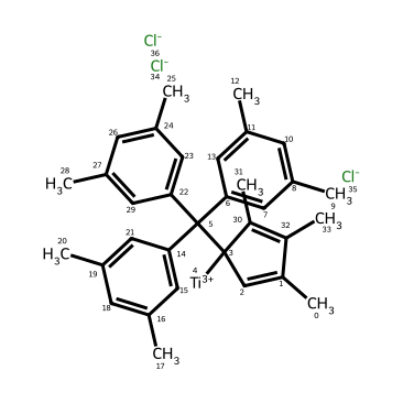 CC1=C[C]([Ti+3])(C(c2cc(C)cc(C)c2)(c2cc(C)cc(C)c2)c2cc(C)cc(C)c2)C(C)=C1C.[Cl-].[Cl-].[Cl-]